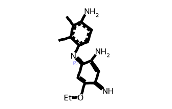 CCOC1=C/C(=N/c2ccc(N)c(C)c2C)C(N)=CC1=N